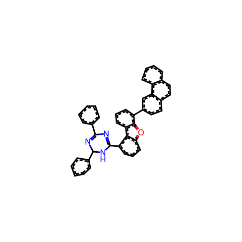 c1ccc(C2=NC(c3ccccc3)NC(c3cccc4oc5c(-c6ccc7ccc8ccccc8c7c6)cccc5c34)=N2)cc1